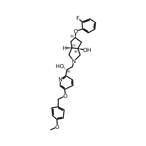 COc1ccc(COc2ccc([C@H](O)CN3C[C@@H]4C[C@@H](Oc5ccccc5F)C[C@]4(O)C3)nc2)cc1